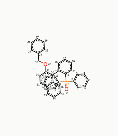 O=P(c1ccccc1)(c1ccccc1)c1ccccc1-c1c(OCc2ccccc2)ccc2ccccc12